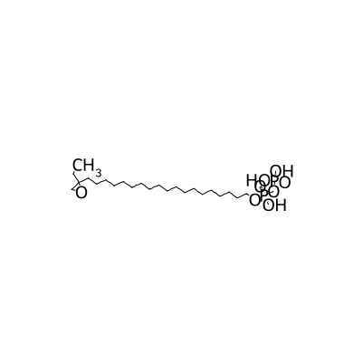 CCC1(CCCCCCCCCCCCCCCCCCCOP(=O)(O)OP(=O)(O)O)CO1